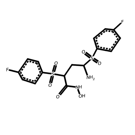 NC(CC(C(=O)NO)S(=O)(=O)c1ccc(F)cc1)S(=O)(=O)c1ccc(F)cc1